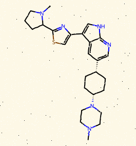 CN1CCN([C@H]2CC[C@@H](c3cnc4[nH]cc(-c5csc(C6CCCN6C)n5)c4c3)CC2)CC1